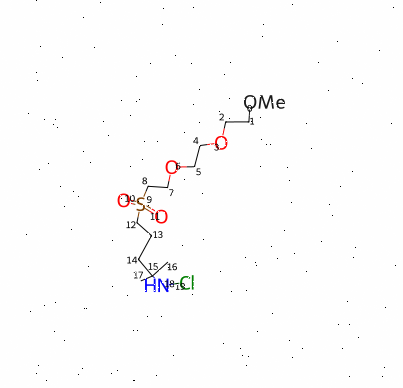 COCCOCCOCCS(=O)(=O)CCCC(C)(C)NCl